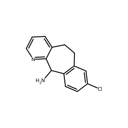 NC1c2ccc(Cl)cc2CCc2cccnc21